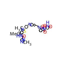 COc1cc2c(cc1NC(=O)c1ccnc(C)n1)SC([C@H]1CC[C@H](CN3CCC4(CC3)CC(CCNc3cccc5c3C(=O)N(C3CCC(=O)NC3=O)C5=O)C4)CC1)N2C